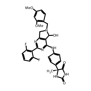 COc1ccc(CN2Cc3nc(-c4c(F)cccc4F)nc(Nc4ccc([C@@]5(C)NC(=O)NC5=O)cc4)c3C2O)c(OC)c1